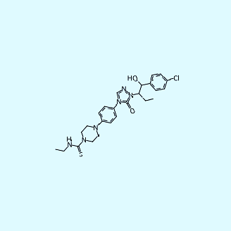 CCNC(=S)N1CCN(c2ccc(-n3cnn(C(CC)C(O)c4ccc(Cl)cc4)c3=O)cc2)CC1